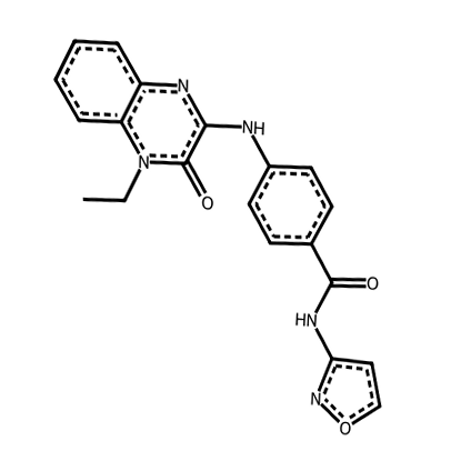 CCn1c(=O)c(Nc2ccc(C(=O)Nc3ccon3)cc2)nc2ccccc21